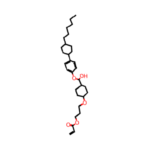 C=CC(=O)OCCCOC1CCC(C(O)Oc2ccc(C3CCC(CCCCCC)CC3)cc2)CC1